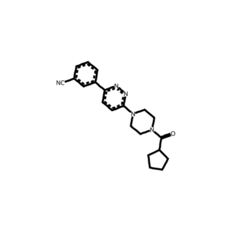 N#Cc1cccc(-c2ccc(N3CCN(C(=O)C4CCCC4)CC3)nn2)c1